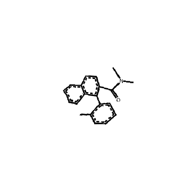 Cc1ccccc1-c1c(C(=O)N(C)C)ccc2ccccc12